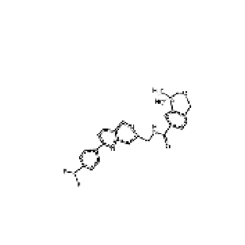 C[C@@]1(C#N)COCc2ccc(C(=O)NCc3cc4nc(-c5ccc(C(F)F)cc5)ccc4cn3)cc21